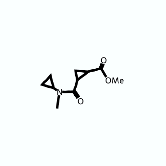 COC(=O)C1CC1C(=O)N(C)C1CC1